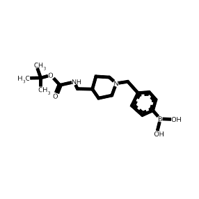 CC(C)(C)OC(=O)NCC1CCN(Cc2ccc(B(O)O)cc2)CC1